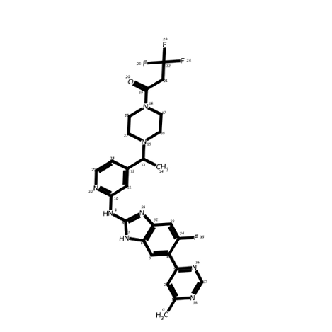 Cc1cc(-c2cc3[nH]c(Nc4cc(C(C)N5CCN(C(=O)CC(F)(F)F)CC5)ccn4)nc3cc2F)ncn1